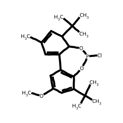 COc1cc2c(c(C(C)(C)C)c1)OP(Cl)OC1C2=CC(C)=CC1C(C)(C)C